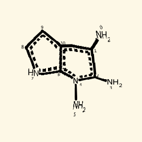 Nc1c(N)n(N)c2[nH]ccc12